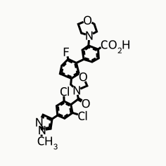 Cn1cc(-c2cc(Cl)c(C(=O)N3COc4c(ccc(F)c4-c4ccc(C(=O)O)c(N5CCOCC5)c4)C3)c(Cl)c2)cn1